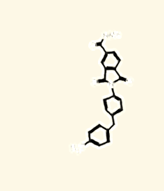 CNC(=O)c1ccc2c(c1)C(=O)N(c1ccc(Cc3ccc(C)cc3)cc1)C2=O